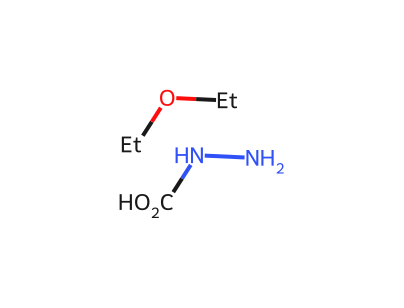 CCOCC.NNC(=O)O